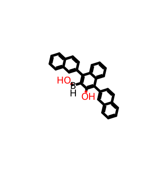 OBc1c(O)c(-c2ccc3ccccc3c2)c2ccccc2c1-c1ccc2ccccc2c1